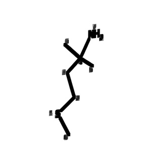 CSCCC(C)(C)N